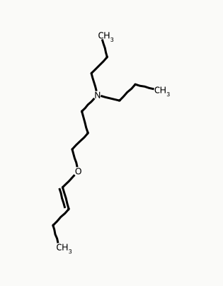 CCC=COCCCN(CCC)CCC